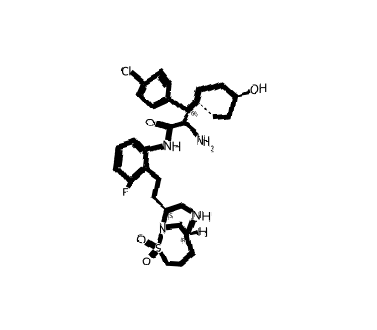 NC(C(=O)Nc1cccc(F)c1CC[C@H]1CN[C@@H]2CCCS(=O)(=O)N1C2)[C@@H](c1ccc(Cl)cc1)[C@H]1CC[C@H](O)CC1